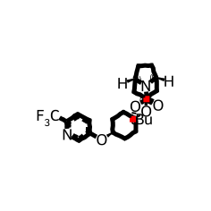 CC(C)(C)OC(=O)N1[C@@H]2CC[C@H]1C[C@H](O[C@H]1CC[C@H](Oc3ccc(C(F)(F)F)nc3)CC1)C2